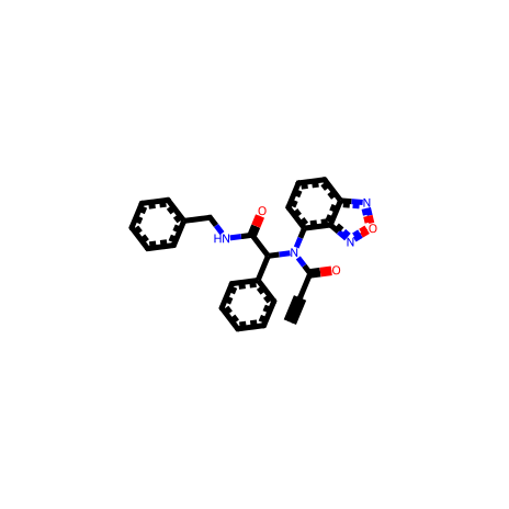 C#CC(=O)N(c1cccc2nonc12)C(C(=O)NCc1ccccc1)c1ccccc1